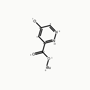 CCC(C)OC(=O)c1cc([O])cnn1